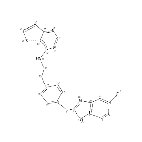 Fc1ccc2[nH]c(Cc3ccc(CCNc4ncnc5ccsc45)cc3)nc2c1